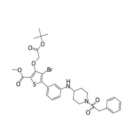 COC(=O)c1sc(-c2cccc(NC3CCN(S(=O)(=O)Cc4ccccc4)CC3)c2)c(Br)c1OCC(=O)OC(C)(C)C